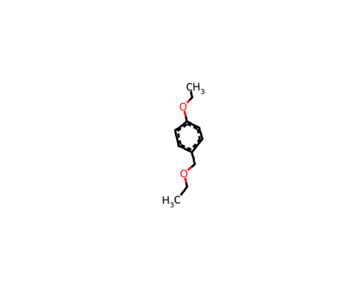 CCOCc1ccc(OCC)cc1